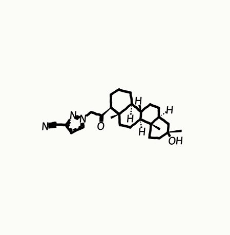 C[C@@]1(O)CC[C@@]2(C)[C@@H](CC[C@@H]3[C@@H]2CC[C@]2(C)[C@@H](C(=O)Cn4ccc(C#N)n4)CCC[C@@H]32)C1